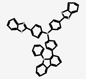 c1ccc(-n2c3ccccc3c3cccc(-c4ccc(N(c5ccc(-c6nc7ccccc7s6)cc5)c5ccc(-c6nc7ccccc7s6)cc5)cc4)c32)cc1